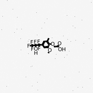 COc1cc(C(F)(F)C(O)(F)C(F)(F)F)cc(C)c1OCC(=O)O